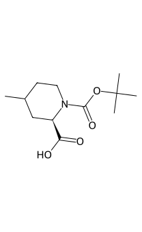 CC1CCN(C(=O)OC(C)(C)C)[C@@H](C(=O)O)C1